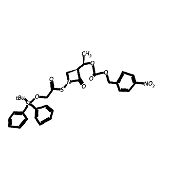 C[C@@H](OC(=O)OCc1ccc([N+](=O)[O-])cc1)[C@@H]1CN(SC(=O)CO[Si](c2ccccc2)(c2ccccc2)C(C)(C)C)C1=O